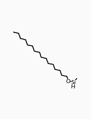 CCCCCCCCCCCCCCCCO[SiH](C)C